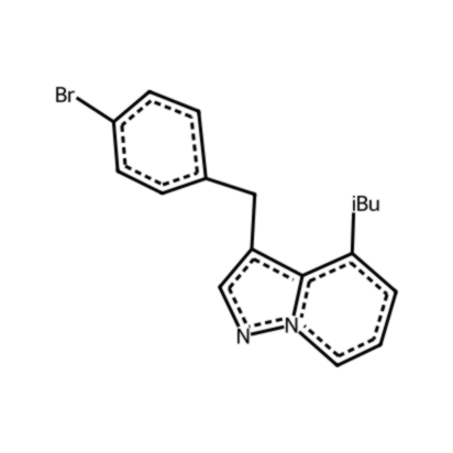 CCC(C)c1cccn2ncc(Cc3ccc(Br)cc3)c12